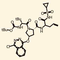 C=CCC(NC(=O)[C@@H]1C[C@@H](Oc2nnc(Cl)c3ccccc23)CN1C(=O)[C@@H](NC(=O)OC(C)(C)C)C(C)(C)C)C(=O)NS(=O)(=O)C1CC1